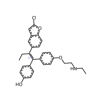 CCNCCOc1ccc(/C(=C(/CC)c2ccc3oc(Cl)cc3c2)c2ccc(O)cc2)cc1